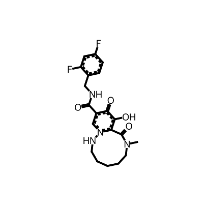 CN1CCCCCNn2cc(C(=O)NCc3ccc(F)cc3F)c(=O)c(O)c2C1=O